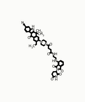 CCc1cc2c(cc1N1CCN(C(=O)CCC(=O)NCCNc3cccc4c3C(=O)N(C3CCC(=O)NC3=O)C4=O)CC1)C(C)(C)c1[nH]c3cc(C#N)ccc3c1C2=O